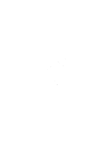 CC(C)(C)OC(=O)N(C1CCN(C(=O)C(F)(F)F)CC1)[C@@H]1C[C@H]1c1ccccc1